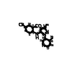 Cc1cc(Nc2ccc(Cl)cc2C(=O)O)n(-c2cnccc2C)n1